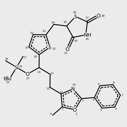 Cc1oc(-c2ccccc2)nc1CCC(O[Si](C)(C)C(C)(C)C)c1ccc(CC2SC(=O)NC2=O)s1